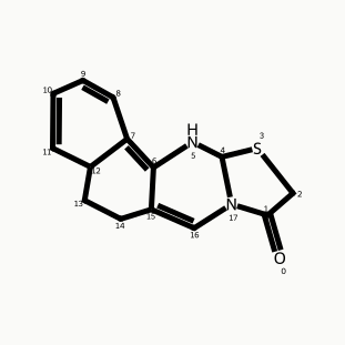 O=C1CSC2NC3=C4C=CC=CC4CCC3=CN12